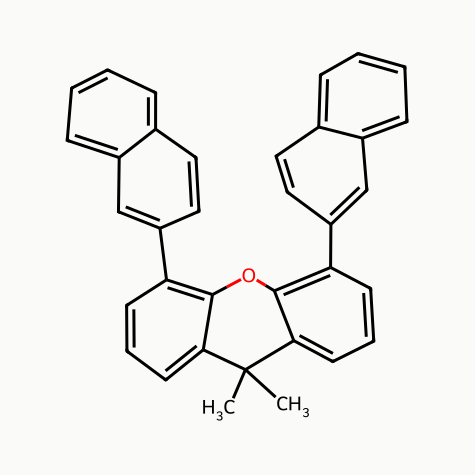 CC1(C)c2cccc(-c3ccc4ccccc4c3)c2Oc2c(-c3ccc4ccccc4c3)cccc21